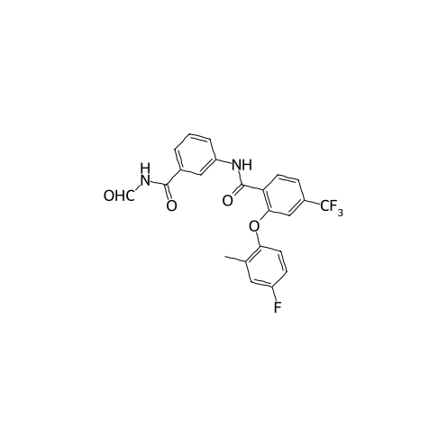 Cc1cc(F)ccc1Oc1cc(C(F)(F)F)ccc1C(=O)Nc1cccc(C(=O)NC=O)c1